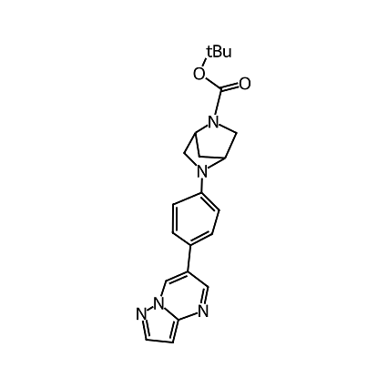 CC(C)(C)OC(=O)N1CC2CC1CN2c1ccc(-c2cnc3ccnn3c2)cc1